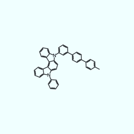 Cc1ccc(-c2ccc(-c3cccc(-n4c5ccccc5c5c6c7ccccc7n(-c7ccccc7)c6ccc54)c3)cc2)cc1